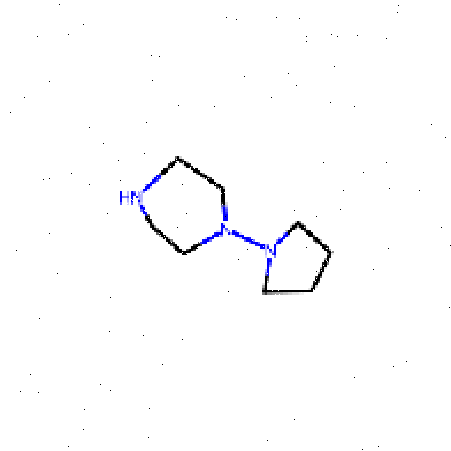 C1CCN(N2CCNCC2)C1